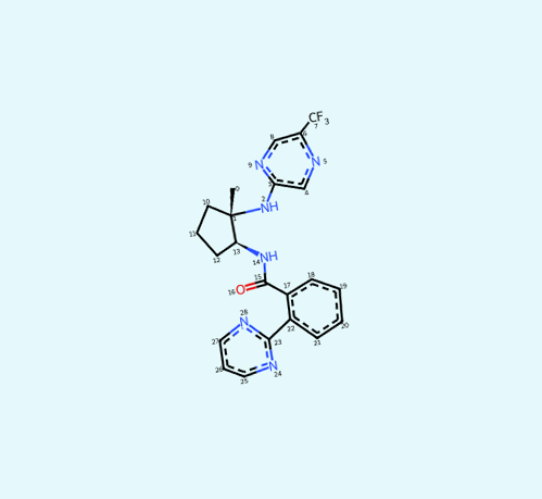 C[C@]1(Nc2cnc(C(F)(F)F)cn2)CCC[C@@H]1NC(=O)c1ccccc1-c1ncccn1